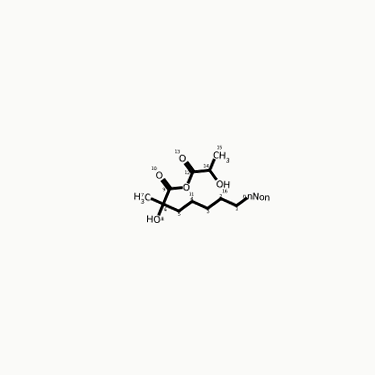 CCCCCCCCCCCCCCC(C)(O)C(=O)OC(=O)C(C)O